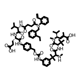 C=Cc1ccccc1N(Cc1ccccc1CC)C(=O)CCC(=O)N[C@H](C(=O)N[C@@H](CCC(=O)O)C(=O)Nc1ccc(COC(=O)Nc2cccc(C(C)(C)C(NC)C(=O)N[C@H](C(=O)N(C)[C@H](/C=C(\C)C(=O)O)C(C)C)C(C)(C)C)c2)cc1)C(C)C